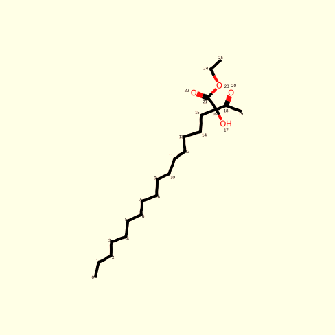 CCCCCCCCCCCCCCCCC(O)(C(C)=O)C(=O)OCC